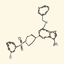 Bc1cnn2c(NCc3cccnc3)cc(C3CCN(S(=O)(=O)c4cccc(Cl)c4)CC3)nc12